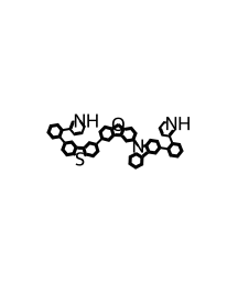 C1=CC(c2ccccc2-c2ccc3sc4ccc(-c5ccc6oc7ccc(-n8c9ccccc9c9cc(-c%10ccccc%10C%10=CNCC=C%10)ccc98)cc7c6c5)cc4c3c2)=CNC1